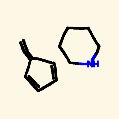 C1CCNCC1.C=C1C=CC=C1